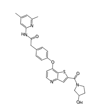 Cc1cc(C)nc(NC(=O)Cc2ccc(Oc3ccnc4cc(C(=O)N5CCC(O)C5)sc34)cc2)c1